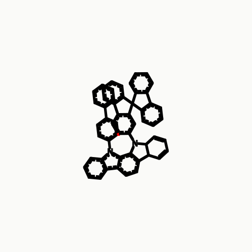 C1=CC2c3ccc4c5ccccc5n(-c5ccc(-c6ccccc6)cc5)c4c3N(c3ccc4c(c3)C3(c5ccccc5-c5ccccc53)c3ccccc3-4)C2C=C1